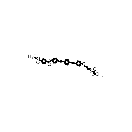 C=COC(=O)c1ccc(C(=O)Sc2ccc(C#Cc3ccc(C#Cc4ccc(OCCCCSC(=O)C(=C)F)cc4)cc3)cc2)cc1